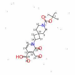 CC(C)(C)OC(=O)N1CCC2(CC1)CC(n1ccc(C(=O)O)c(C=O)c1=O)C2